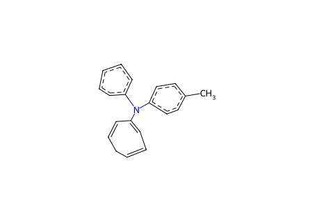 Cc1ccc(N(C2=CC=CCC=C2)c2ccccc2)cc1